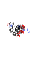 CC(=O)NCc1ccc(-c2ccc(O)c3c2C[C@@H]2C[C@@H]4[C@H](N(C)C)C(O)=C(C(N)=O)C(=O)[C@]4(O)C(O)=C2C3=O)cc1